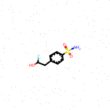 NS(=O)(=O)c1ccc(CC(O)F)cc1